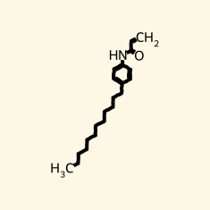 C=CC(=O)Nc1ccc(CCCCCCCCCCCC)cc1